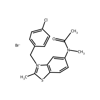 CC(=O)N(C)c1ccc2sc(C)[n+](Cc3ccc(Cl)cc3)c2c1.[Br-]